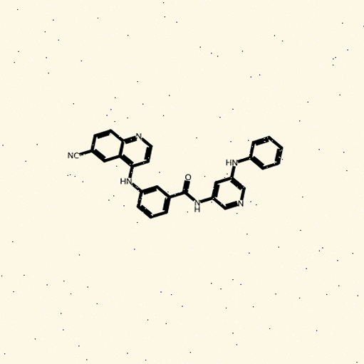 N#Cc1ccc2nccc(Nc3cccc(C(=O)Nc4cncc(Nc5ccccc5)c4)c3)c2c1